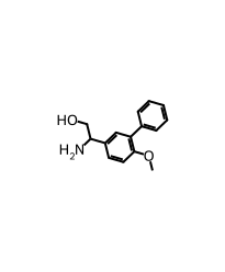 COc1ccc(C(N)CO)cc1-c1ccccc1